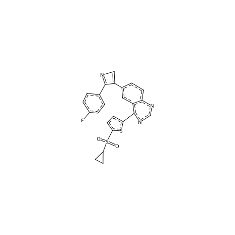 O=S(=O)(c1ccc(-c2ncnc3ccc(C4=CN=C4c4ccc(F)cc4)cc23)s1)C1CC1